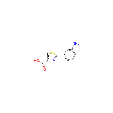 Nc1cccc(-c2nc(C(=O)O)cs2)c1